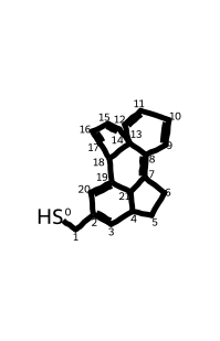 SCC1=CC2CCC3=C4C=CC=CC45C=CC=CC5C(=C1)C32